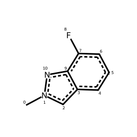 Cn1cc2c[c]cc(F)c2n1